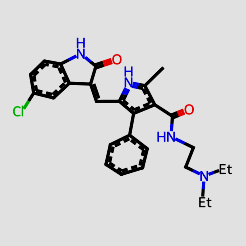 CCN(CC)CCNC(=O)c1c(C)[nH]c(C=C2C(=O)Nc3ccc(Cl)cc32)c1-c1ccccc1